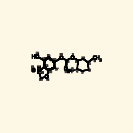 CC1CC[C@H](C(C)C)C(OC(=O)Oc2cc(O)c3c(c2)OC[PH]3=O)C1